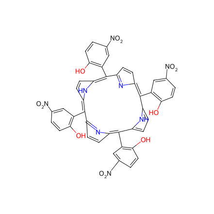 O=[N+]([O-])c1ccc(O)c(-c2c3nc(c(-c4cc([N+](=O)[O-])ccc4O)c4ccc([nH]4)c(-c4cc([N+](=O)[O-])ccc4O)c4nc(c(-c5cc([N+](=O)[O-])ccc5O)c5ccc2[nH]5)C=C4)C=C3)c1